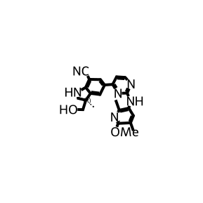 COc1nc(C)c(Nc2nccc(-c3cc(C#N)c4c(c3)[C@@](C)(CO)CN4)n2)cc1C